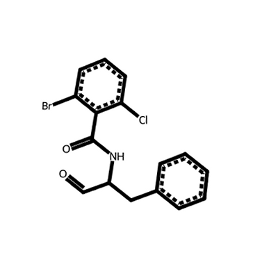 O=CC(Cc1ccccc1)NC(=O)c1c(Cl)cccc1Br